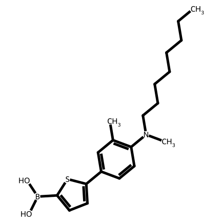 CCCCCCCCN(C)c1ccc(-c2ccc(B(O)O)s2)cc1C